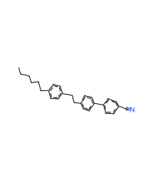 CCCCCCc1ccc(CCc2ccc(-c3ccc(C#N)cc3)cc2)cc1